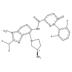 Cn1c(C(F)F)nc2c(N3CC[C@@H](N)C3)c(NC(=O)c3ccc(=O)n(-c4c(F)cccc4F)n3)ccc21